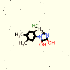 Cc1cc(C)c(N2C=NC(O)C2O)cc1C.Cl